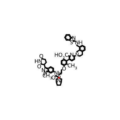 Cc1c(OCCCN2CC3CCC(C2)N3CC(=O)Nc2ccc3c(C4CCC(=O)NC4=O)nn(C)c3c2)cccc1-c1ccc(N2CCc3cccc(CNc4nc5ccccc5s4)c3C2)nc1C(=O)O